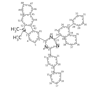 C[Si]1(C)c2ccc(-c3nc(-c4ccc(-c5ccccc5)cc4)nc(-c4ccc(-c5ccccc5)c5ccccc45)n3)cc2-c2cc3ccccc3cc21